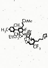 CCOC(=O)C[C@H](NC(=O)C(CC(C)C)n1cc(CCCN2CCC2)c(C(F)(F)F)cc1=O)c1c(F)c(CCOC)cc(-c2c(C)cc(C)cc2C)c1F